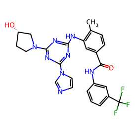 Cc1ccc(C(=O)Nc2cccc(C(F)(F)F)c2)cc1Nc1nc(N2CC[C@H](O)C2)nc(-n2ccnc2)n1